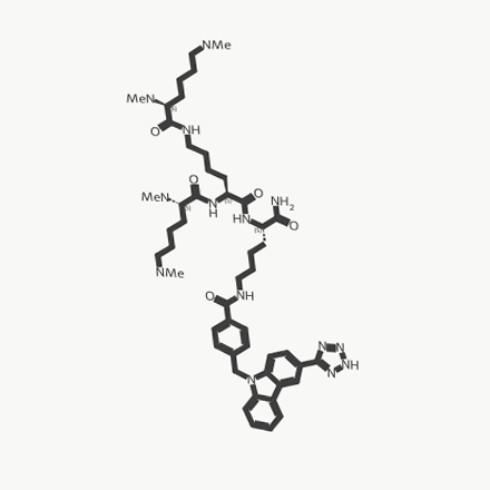 CNCCCC[C@H](NC)C(=O)NCCCC[C@H](NC(=O)[C@H](CCCCNC)NC)C(=O)N[C@@H](CCCCNC(=O)c1ccc(Cn2c3ccccc3c3cc(-c4nn[nH]n4)ccc32)cc1)C(N)=O